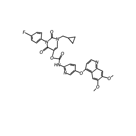 COc1cc2nccc(Oc3ccc(NC(=O)Oc4cn(CC5CC5)c(=O)n(-c5ccc(F)cc5)c4=O)nc3)c2cc1OC